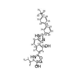 CCC(C)[C@H](NC(=O)c1cc(O)c2c(ccc3[nH]c(-c4cccc(-c5ccc(C(C)(C)C)cc5)c4)nc32)c1)C(=O)O